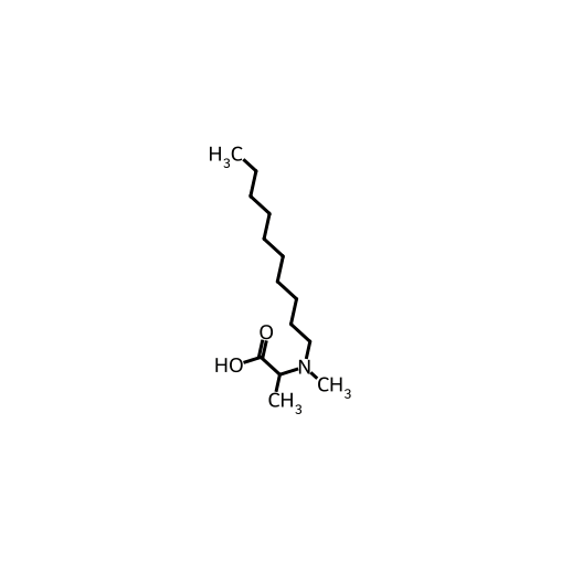 CCCCCCCCCCN(C)C(C)C(=O)O